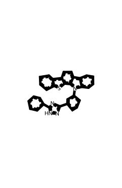 c1ccc(-c2nc(-c3cccc(-n4c5ccccc5c5ccc6c7ccccc7sc6c54)c3)n[nH]2)cc1